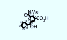 CNC(=O)c1cc(C(=O)O)cc([C@H](O)c2ccccn2)n1